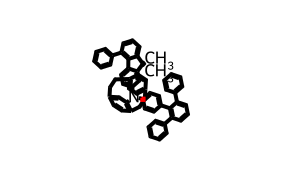 CC1(C)c2cc(N(c3ccc(-c4c(-c5ccccc5)cccc4-c4ccccc4)cc3)c3cc4ccc3CCc3ccc(cc3)CC4)ccc2-c2c(-c3ccccc3)cccc21